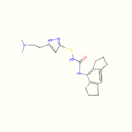 CN(C)CCc1cc(SNC(=O)Nc2c3c(cc4c2CCC4)CCC3)n[nH]1